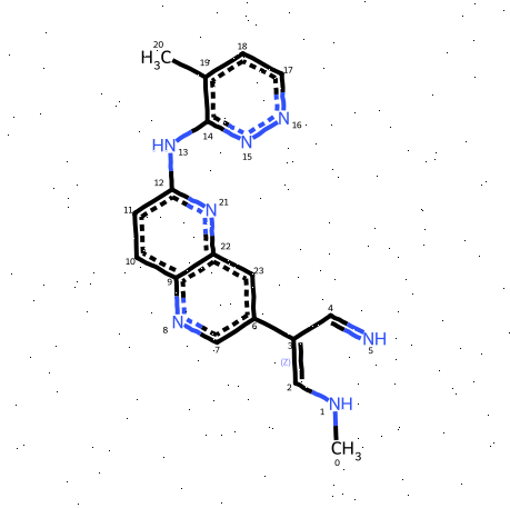 CN/C=C(\C=N)c1cnc2ccc(Nc3nnccc3C)nc2c1